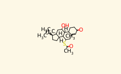 CC(=O)SC1CC2=CC(=O)CC[C@]2(C)[C@H]2C(O)C[C@]3(C)C(=C(C)C)CC[C@H]3[C@H]12